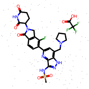 CS(=O)(=O)Nc1n[nH]c2c(CN3CCCC3)cc(-c3ccc4c(c3F)CN(C3CCC(=O)NC3=O)C4=O)nc12.O=C(O)C(F)(F)F